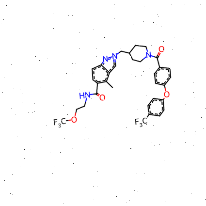 Cc1c(C(=O)NCCOC(F)(F)F)ccc2nn(CC3CCN(C(=O)c4ccc(Oc5ccc(C(F)(F)F)cc5)cc4)CC3)cc12